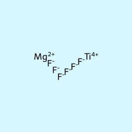 [F-].[F-].[F-].[F-].[F-].[F-].[Mg+2].[Ti+4]